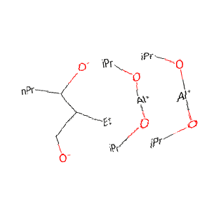 CC(C)[O][Al+][O]C(C)C.CC(C)[O][Al+][O]C(C)C.CCCC([O-])C(CC)C[O-]